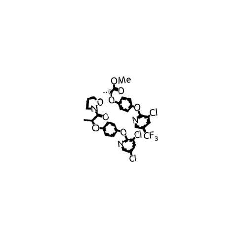 CC(Oc1ccc(Oc2ncc(Cl)cc2Cl)cc1)C(=O)N1CCCO1.COC(=O)[C@@H](C)Oc1ccc(Oc2ncc(C(F)(F)F)cc2Cl)cc1